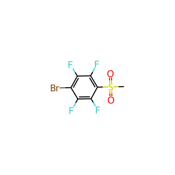 CS(=O)(=O)c1c(F)c(F)c(Br)c(F)c1F